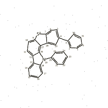 c1ccc(-c2ccc3sc4ccc5c6ccccc6n(-c6ccccc6)c5c4c3c2)cc1